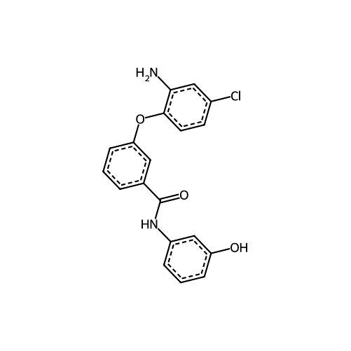 Nc1cc(Cl)ccc1Oc1cccc(C(=O)Nc2cccc(O)c2)c1